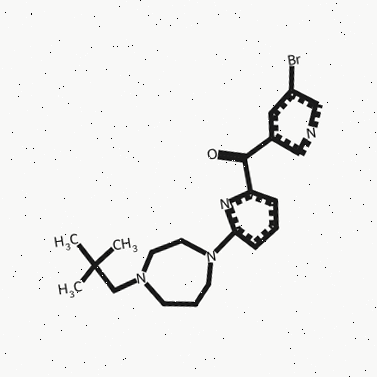 CC(C)(C)CN1CCCN(c2cccc(C(=O)c3cncc(Br)c3)n2)CC1